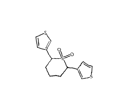 O=S1(=O)C(c2ccsc2)CCCC1c1ccsc1